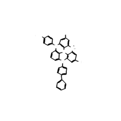 CC(C)(C)c1ccc(N2c3cccc4c3B3c5c(cc(C(C)(C)C)cc5[Si](C)(C)c5cc(C(C)(C)C)cc2c53)N4c2ccc(-c3ccccc3)cc2)cc1